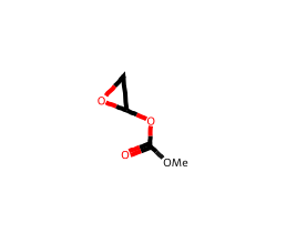 COC(=O)OC1CO1